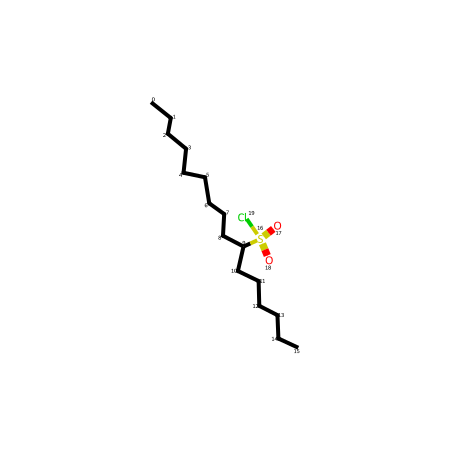 CCCCCCCCCC(CCCCCC)S(=O)(=O)Cl